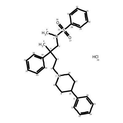 CN(CC(C)(CCN1CCC(c2ccccc2)CC1)c1ccccc1)S(=O)(=O)c1ccccc1.Cl